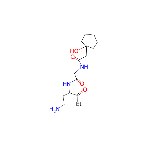 CCC(=O)C(CCN)NC(=O)CNC(=O)CC1(O)CCCCC1